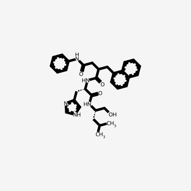 CC(C)C[C@@H](CO)NC(=O)[C@H](Cc1c[nH]cn1)NC(=O)C(CC(=O)Nc1ccccc1)Cc1cccc2ccccc12